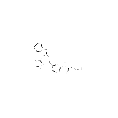 Cn1nnnc1-n1c(OCc2cccc(NC(=O)CCC(C)(C)C)n2)nc2ccccc21